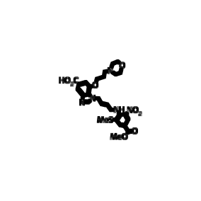 COC(=O)c1cc(SC)c(NCC=CCn2cnc3cc(C(=O)O)cc(OCCCN4CCOCC4)c32)c([N+](=O)[O-])c1